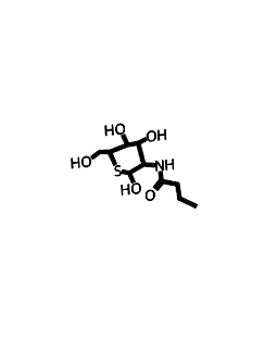 CCCC(=O)NC1C(O)SC(CO)C(O)C1O